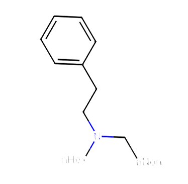 CCCCCCCCCCN(CCCCCC)CCc1ccccc1